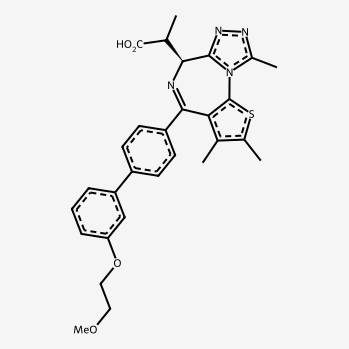 COCCOc1cccc(-c2ccc(C3=N[C@@H](C(C)C(=O)O)c4nnc(C)n4-c4sc(C)c(C)c43)cc2)c1